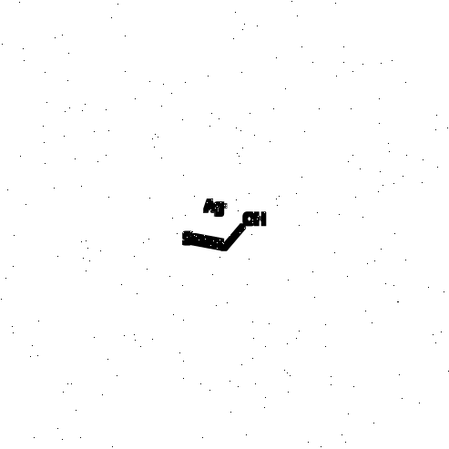 OC=S.[Ag]